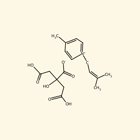 CC(C)=CC[n+]1ccc(C)cc1.O=C(O)CC(O)(CC(=O)O)C(=O)[O-]